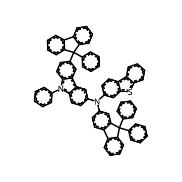 c1ccc(-n2c3ccc(N(c4ccc5c(c4)C(c4ccccc4)(c4ccccc4)c4ccccc4-5)c4ccc5c(c4)sc4ccccc45)cc3c3cc(C4(c5ccccc5)c5ccccc5-c5ccccc54)ccc32)cc1